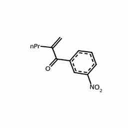 C=C(CCC)C(=O)c1cccc([N+](=O)[O-])c1